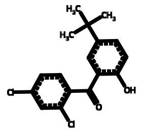 CC(C)(C)c1ccc(O)c(C(=O)c2ccc(Cl)cc2Cl)c1